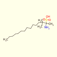 CCCCCCCCCCCCC(C)(C)C(C)(N)S(=O)(=O)O